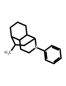 CC1CC2C3CCCC1C3CCN2c1ccccc1